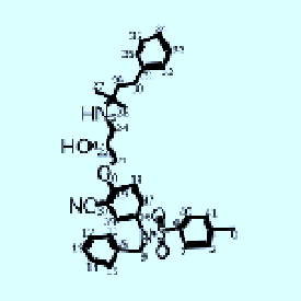 Cc1ccc(S(=O)(=O)N(Cc2ccccc2)c2ccc(OC[C@H](O)CNC(C)(C)CCc3ccccc3)c(C#N)c2)cc1